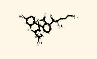 NCCC[C@@H](N)C(=O)c1cccc2c1C(=O)OC21c2ccc(O)cc2Oc2cc(O)ccc21